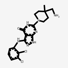 CC1(CN)CCN(c2nc3[nH]nc(Nc4cccc(Cl)c4Cl)c3c(=O)[nH]2)CC1